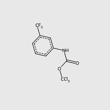 O=C(Nc1cccc(C(F)(F)F)c1)OC(Cl)(Cl)Cl